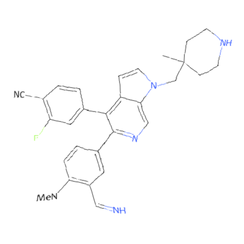 CNc1ccc(-c2ncc3c(ccn3CC3(C)CCNCC3)c2-c2ccc(C#N)c(F)c2)cc1C=N